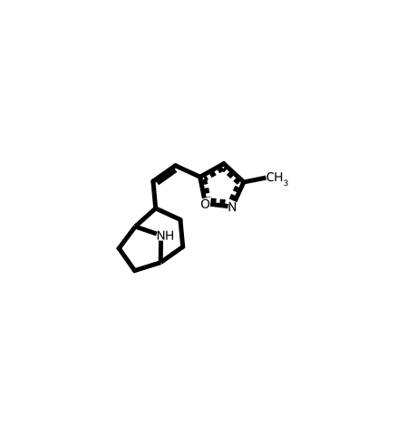 Cc1cc(/C=C\C2CCC3CCC2N3)on1